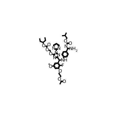 CCC(CC)OC(=O)OCOc1nc(C(Nc2ccc(C(N)=NC(=O)OCC(C)C)cc2)c2cc(OC)cc(OCCOC(C)=O)c2F)nn1-c1ncccn1